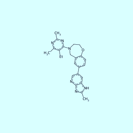 CCc1c(C)nc(C)nc1N1CCOc2ccc(-c3cnc4nc(C)[nH]c4c3)cc2C1